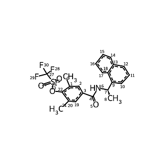 Cc1cc(C(=O)N[C@H](C)c2cccc3ccccc23)cc(C)c1OS(=O)(=O)C(F)(F)F